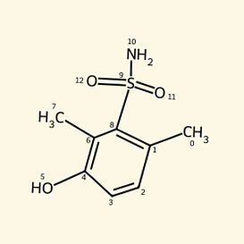 Cc1ccc(O)c(C)c1S(N)(=O)=O